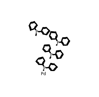 CP(c1ccccc1)c1ccccc1.CP(c1ccccc1)c1ccccc1.CP(c1ccccc1)c1ccccc1.CP(c1ccccc1)c1ccccc1.[Pd]